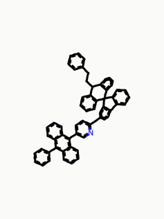 c1ccc(CCC2c3ccccc3C3(c4ccccc4-c4ccc(-c5ccc(-c6c7ccccc7c(-c7ccccc7)c7ccccc67)cn5)cc43)c3ccccc32)cc1